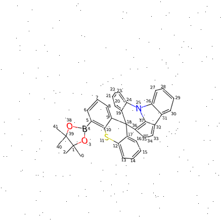 CC1(C)OB(c2cccc3c2Sc2ccccc2C32c3ccccc3-n3c4ccccc4c4cccc2c43)OC1(C)C